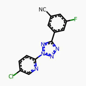 N#Cc1cc(F)cc(-c2nnn(-c3ccc(Cl)cn3)n2)c1